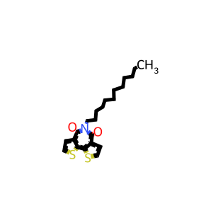 CCCCCCCCCCCCn1c(=O)c2ccsc2c2sccc2c1=O